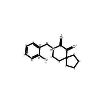 O=C1C(=O)C2(CCCC2)CCN1Cc1ccccc1Br